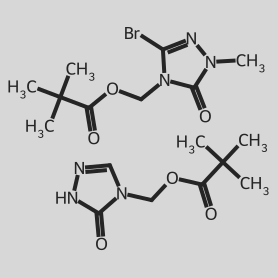 CC(C)(C)C(=O)OCn1cn[nH]c1=O.Cn1nc(Br)n(COC(=O)C(C)(C)C)c1=O